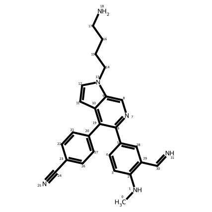 CNc1ccc(-c2ncc3c(ccn3CCCCN)c2-c2ccc(C#N)cc2)cc1C=N